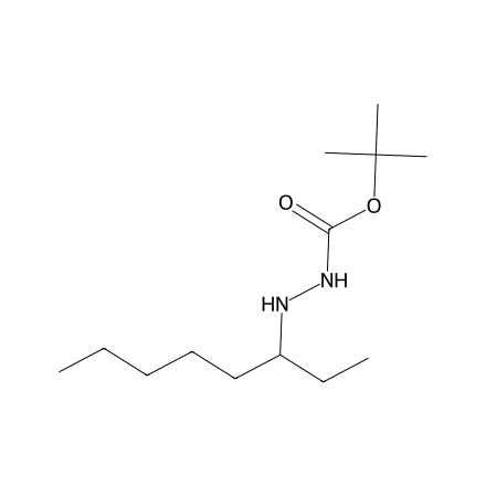 CCCCCC(CC)NNC(=O)OC(C)(C)C